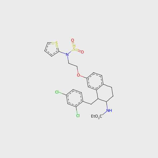 CCOC(=O)NC1CCc2ccc(OCCN(c3cccs3)[SH](=O)=O)cc2C1Cc1ccc(Cl)cc1Cl